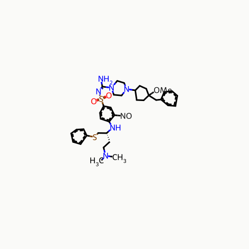 COC1(Cc2ccccc2)CCC(N2CCN(/C(N)=N\S(=O)(=O)c3ccc(N[C@H](CCN(C)C)CSc4ccccc4)c(N=O)c3)CC2)CC1